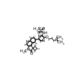 CN(C)CCCOc1ncc(-c2ccc3ncc4c(c3c2)C2(CCC2)C(=O)N4C)nc1NS(C)(=O)=O